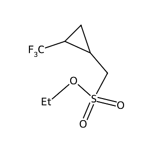 CCOS(=O)(=O)CC1CC1C(F)(F)F